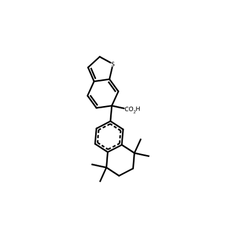 CC1(C)CCC(C)(C)c2cc(C3(C(=O)O)C=CC4=CCSC4=C3)ccc21